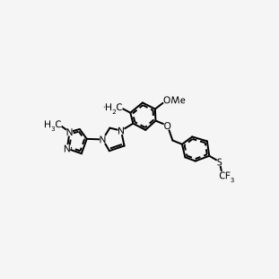 [CH2]c1cc(OC)c(OCc2ccc(SC(F)(F)F)cc2)cc1N1C=CN(c2cnn(C)c2)C1